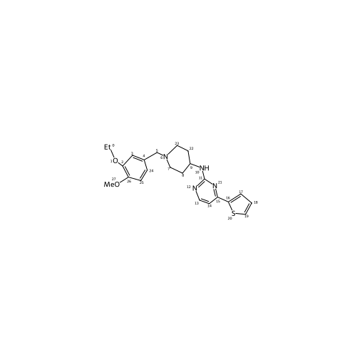 CCOc1cc(CN2CCC(Nc3nccc(-c4cccs4)n3)CC2)ccc1OC